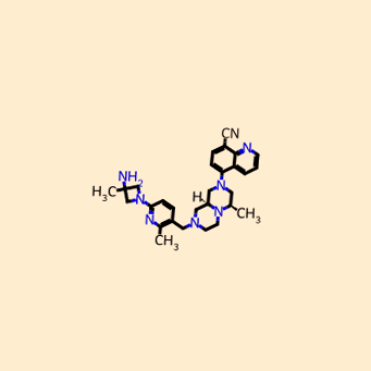 Cc1nc(N2CC(C)(N)C2)ccc1CN1CCN2[C@@H](C1)CN(c1ccc(C#N)c3ncccc13)C[C@H]2C